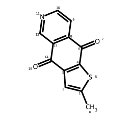 Cc1cc2c(s1)C(=O)c1ccncc1C2=O